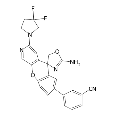 N#Cc1cccc(-c2ccc3c(c2)C2(COC(N)=N2)c2cc(N4CCC(F)(F)C4)ncc2O3)c1